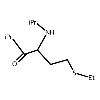 CCSCCC(NC(C)C)C(=O)C(C)C